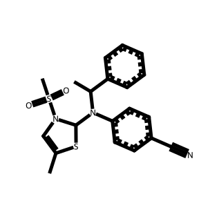 CC1=CN(S(C)(=O)=O)C(N(c2ccc(C#N)cc2)C(C)c2ccccc2)S1